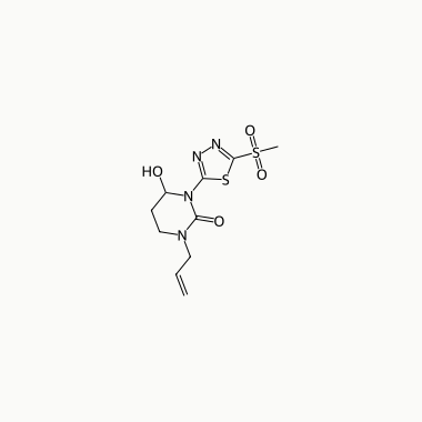 C=CCN1CCC(O)N(c2nnc(S(C)(=O)=O)s2)C1=O